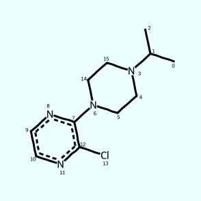 CC(C)N1CCN(c2nccnc2Cl)CC1